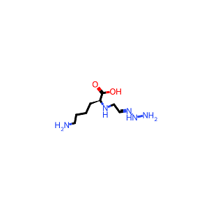 NCCCC[C@H](NCC=NNN)C(=O)O